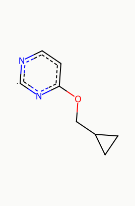 [c]1nccc(OCC2CC2)n1